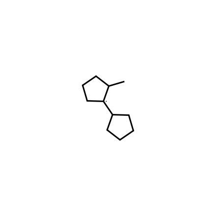 CC1CCC[C]1C1CCCC1